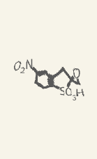 CC1(Cc2cc([N+](=O)[O-])ccc2S(=O)(=O)O)CO1